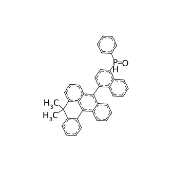 CC1(C)c2ccccc2-c2c3ccccc3c(-c3ccc([PH](=O)c4ccccc4)c4ccccc34)c3cccc1c23